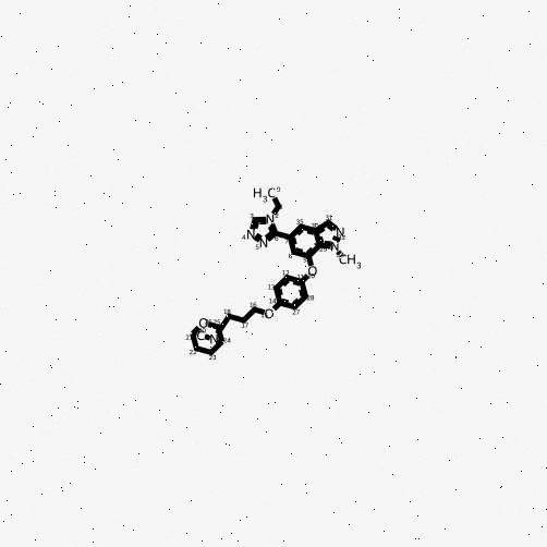 CCn1cnnc1-c1cc(Oc2ccc(OCCCN3CC4CCC3CO4)cc2)c2c(cnn2C)c1